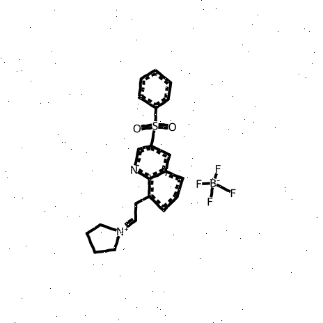 F[B-](F)(F)F.O=S(=O)(c1ccccc1)c1cnc2c(CC=[N+]3CCCC3)cccc2c1